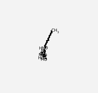 CCCCCCCCCCCCCCC(=O)Nc1ccn([C@@H]2O[C@H](CO)[C@@H](O)[C@H]2C#N)c(=O)n1